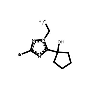 CCn1nc(Br)nc1C1(O)CCCC1